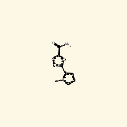 Cn1cccc1-c1nnc(C(N)=O)o1